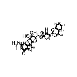 C[C@@H](OC(=O)[C@H]1CS[P@@](=O)(OC[C@H]2O[C@@H](n3cnc4c(=O)[nH]c(N)nc43)[C@](C)(O)[C@@H]2O)N1)c1ccccc1